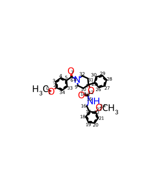 COc1ccc(C(=O)N2CCC(OC(=O)NCc3ccccc3OC)(c3ccccc3)CC2)cc1